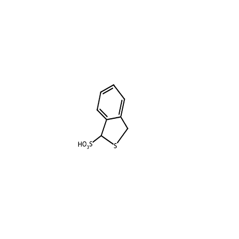 O=S(=O)(O)C1SCc2ccccc21